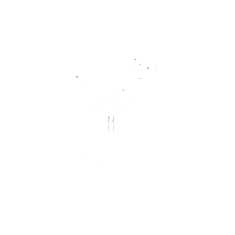 Cc1ccc2c(c1)CC(C(=O)Nc1ccc(-c3cn[nH]c3)cc1OCCN(C)C)CO2